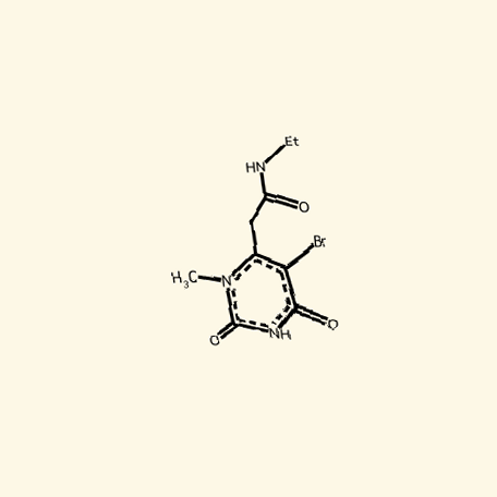 CCNC(=O)Cc1c(Br)c(=O)[nH]c(=O)n1C